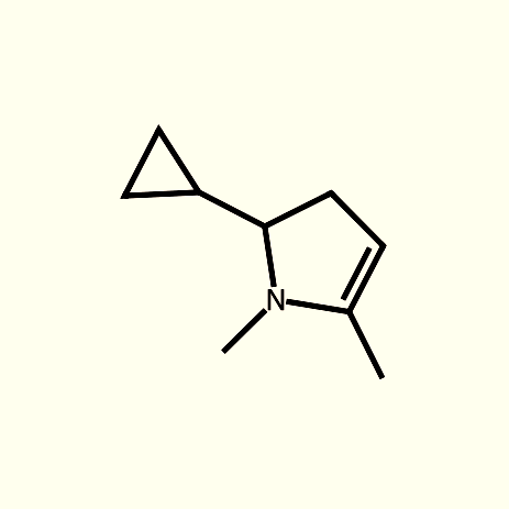 CC1=CCC(C2CC2)N1C